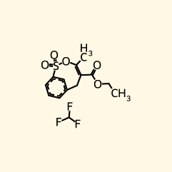 CCOC(=O)C1=C(C)OS(=O)(=O)c2cccc(c2)C1.FC(F)F